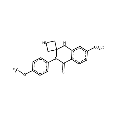 CCOC(=O)c1ccc2c(c1)NC1(CNC1)N(c1ccc(OC(F)(F)F)cc1)C2=O